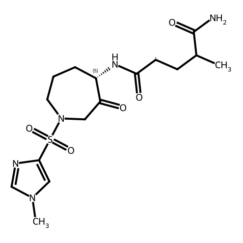 CC(C[CH]C(=O)N[C@H]1CCCN(S(=O)(=O)c2cn(C)cn2)CC1=O)C(N)=O